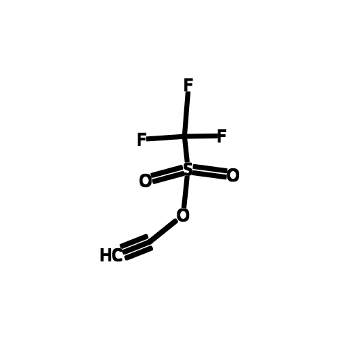 C#COS(=O)(=O)C(F)(F)F